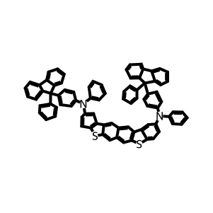 c1ccc(N(c2ccc(C3(c4ccccc4)c4ccccc4-c4ccccc43)cc2)c2ccc3sc4cc5cc6sc7ccc(N(c8ccccc8)c8ccc(C9(c%10ccccc%10)c%10ccccc%10-c%10ccccc%109)cc8)cc7c6cc5cc4c3c2)cc1